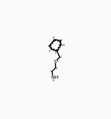 [NH]CCSCc1ccccc1